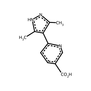 Cc1n[nH]c(C)c1-c1ccc(C(=O)O)cn1